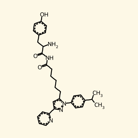 CC(C)c1ccc(-n2nc(-c3ccccn3)cc2CCCCCC(=O)NC(=O)C(N)Cc2ccc(O)cc2)cc1